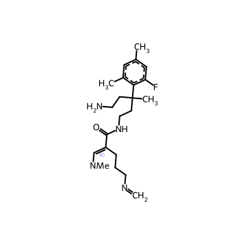 C=NCCC/C(=C\NC)C(=O)NCCC(C)(CCN)c1c(C)cc(C)cc1F